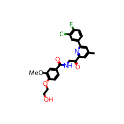 COc1cc(C(=O)NCC(=O)c2cc(C)cc(-c3ccc(F)c(Cl)c3)n2)ccc1OCCO